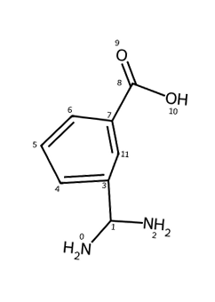 NC(N)c1cccc(C(=O)O)c1